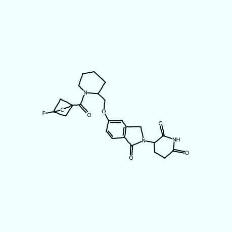 O=C1CCC(N2Cc3cc(OCC4CCCCN4C(=O)C45CC(F)(C4)C5)ccc3C2=O)C(=O)N1